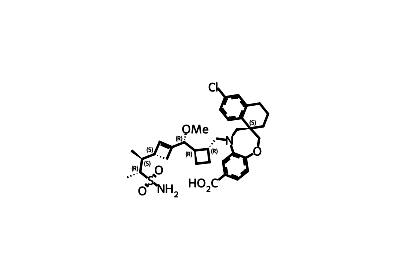 CO[C@@H](C1=C[C@@H]([C@H](C)[C@@H](C)S(N)(=O)=O)C1)[C@@H]1CC[C@H]1CN1C[C@@]2(CCCc3cc(Cl)ccc32)COc2ccc(C(=O)O)cc21